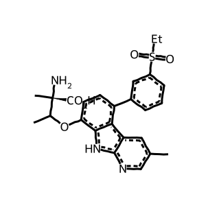 CCS(=O)(=O)c1cccc(-c2ccc(OC(C)[C@](C)(N)C(=O)O)c3[nH]c4ncc(C)cc4c23)c1